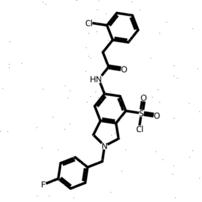 O=C(Cc1ccccc1Cl)Nc1cc2c(c(S(=O)(=O)Cl)c1)CN(Cc1ccc(F)cc1)C2